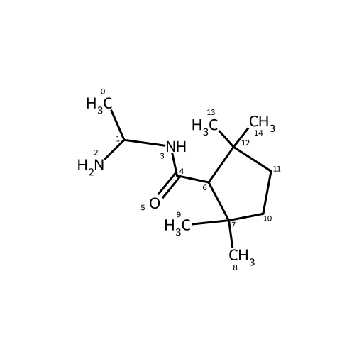 CC(N)NC(=O)C1C(C)(C)CCC1(C)C